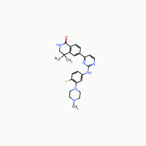 CN1CCN(c2cc(Nc3nccc(-c4ccc5c(c4)C(C)(C)CNC5=O)n3)ccc2F)CC1